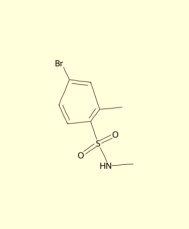 CNS(=O)(=O)c1ccc(Br)cc1C